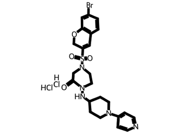 Cl.Cl.O=C1CN(S(=O)(=O)C2=Cc3ccc(Br)cc3OC2)CCN1NC1CCN(c2ccncc2)CC1